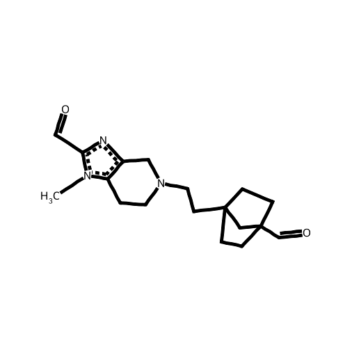 Cn1c(C=O)nc2c1CCN(CCC13CCC(C=O)(CC1)C3)C2